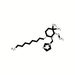 CCCCCCCCC[C@@H]1CCC(C)(C)[C@H](OC)[C@H]1Cn1ccnc1